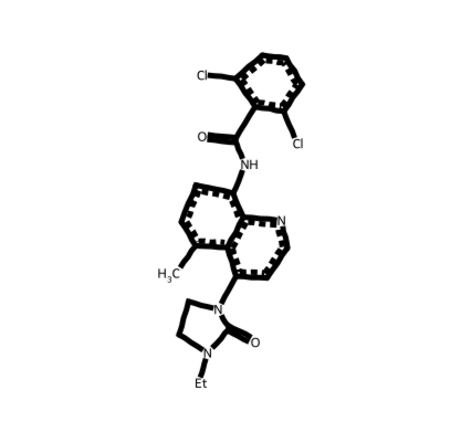 CCN1CCN(c2ccnc3c(NC(=O)c4c(Cl)cccc4Cl)ccc(C)c23)C1=O